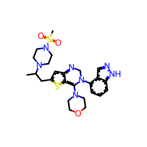 CC(Cc1cc2c(s1)=C(N1CCOCC1)N(c1cccc3[nH]ncc13)CN=2)N1CCN(S(C)(=O)=O)CC1